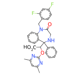 Cc1cc(C)nc(OC(C(=O)O)C2(c3ccccc3)NCC(=O)N(Cc3ccc(F)cc3F)c3ccccc32)n1